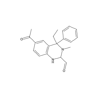 CCC1(c2ccccc2)c2cc(C(C)=O)ccc2NC(C=O)N1C